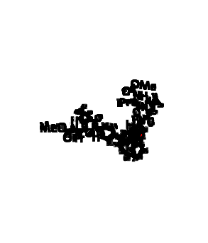 COC(=O)N[C@H](C(=O)N1CC2(CC2)C[C@H]1C(=O)Nc1ccc([C@@H]2C=C3C=CC2CC[C@H]2C=C(c4ccc(NC(=O)[C@@H]5CC6(CC6)CN5C(=O)[C@H](NC(=O)OC)C(C)C)cc4)C(=CC2)CC3)cc1)C(C)C